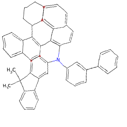 CC1(C)c2ccccc2-c2cc(N(c3cccc(-c4ccccc4)c3)c3ccc4ccccc4c3-c3ccc4ccccc4c3C3CCCCC3)ccc21